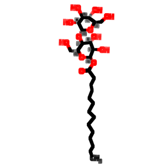 CCCCCCCCCCCCCC(=O)O[C@@H]1O[C@H](CO)[C@@H](O[C@H]2O[C@H](CO)[C@@H](O)[C@H](O)[C@H]2O)[C@H](O)[C@H]1O